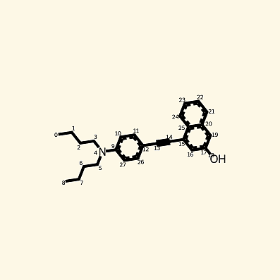 CCCCN(CCCC)c1ccc(C#Cc2cc(O)cc3ccccc23)cc1